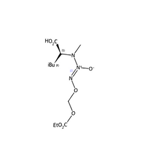 CCOC(=O)OCO/N=[N+](\[O-])N(C)[C@H](C(=O)O)[C@H](C)CC